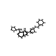 c1cc(NC2CCCC2)c2[nH]c(C3=NC(CCN4CCCCC4)CS3)cc2c1